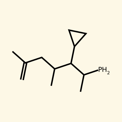 C=C(C)CC(C)C(C(C)P)C1CC1